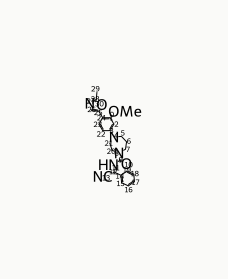 COc1cc(N2CCCN(C(=O)NC(C#N)c3ccccc3)CC2)ccc1-c1cnc(C)o1